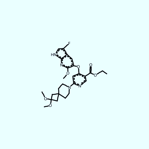 CCOC(=O)c1cnc(N2CCC3(CC2)CC(OC)(OC)C3)cc1Oc1cc2c(F)c[nH]c2nc1OC